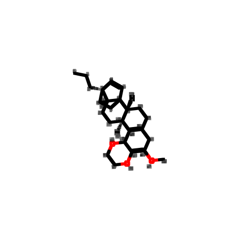 CCC[C@@]12C=CC3(CC1)[C@@H]1CCC4=C(C5OCCOC5=C(OC)C4)[C@H]1CC[C@@]32C